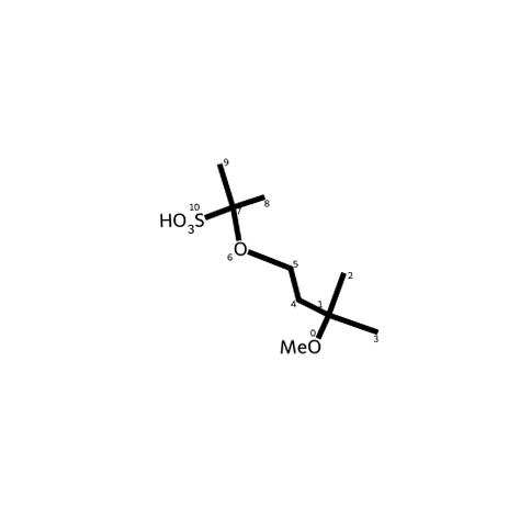 COC(C)(C)CCOC(C)(C)S(=O)(=O)O